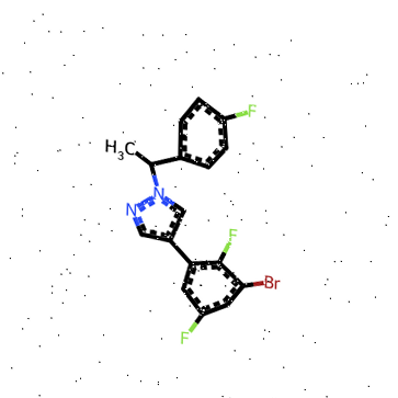 CC(c1ccc(F)cc1)n1cc(-c2cc(F)cc(Br)c2F)cn1